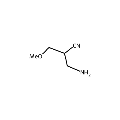 COCC(C#N)CN